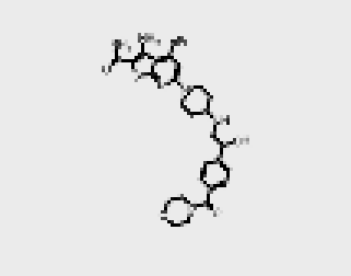 CCCc1cc(N2CCC(NCC(O)c3ccc(C(=O)N4CCOCC4)cc3)CC2)nc2sc(C(N)=O)c(N)c12